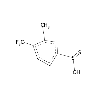 Cc1cc(S(O)=S)ccc1C(F)(F)F